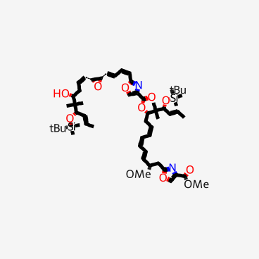 C/C=C/C(O[Si](C)(C)C(C)(C)C)C(C)(C)C(O)C/C=C\[C@H]1O[C@H]1/C=C/C=C\c1nc(C(=O)OC(C\C=C/C=C\C=C\C(Cc2nc(C(=O)OC)co2)OC)C(C)(C)C(/C=C/C)O[Si](C)(C)C(C)(C)C)co1